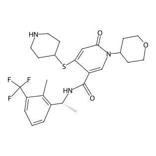 Cc1c([C@@H](C)NC(=O)c2cn(C3CCOCC3)c(=O)cc2SC2CCNCC2)cccc1C(F)(F)F